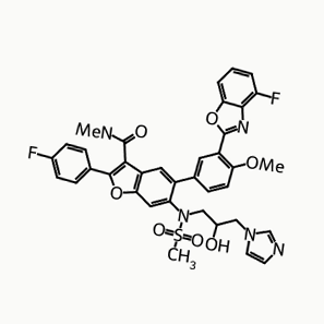 CNC(=O)c1c(-c2ccc(F)cc2)oc2cc(N(CC(O)Cn3ccnc3)S(C)(=O)=O)c(-c3ccc(OC)c(-c4nc5c(F)cccc5o4)c3)cc12